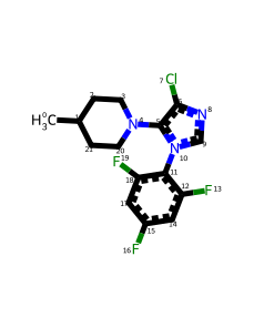 CC1CCN(c2c(Cl)ncn2-c2c(F)cc(F)cc2F)CC1